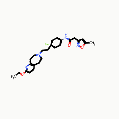 Cc1cc(CC(=O)N[C@H]2CC[C@](F)(CCN3CCc4ccc(OCC(F)(F)F)nc4CC3)CC2)no1